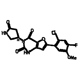 COc1cc(-c2cc3[nH]c(=O)n([C@H]4CNC(=O)C4)c(=O)c3o2)c(Cl)cc1F